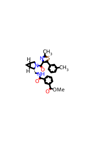 COC(=O)c1cccc(C(=O)NC[C@@H]2[C@@H]3C[C@@H]3CN2C(=O)c2nc(C)sc2-c2cccc(C)c2)c1